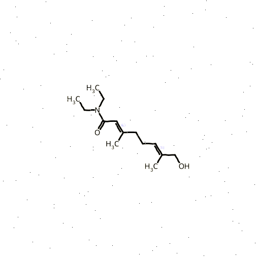 CCN(CC)C(=O)/C=C(\C)CC/C=C(\C)CO